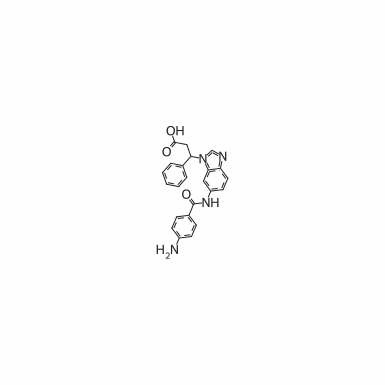 Nc1ccc(C(=O)Nc2ccc3ncn(C(CC(=O)O)c4ccccc4)c3c2)cc1